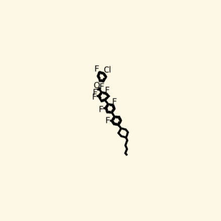 CCCCCC1CCC(c2ccc(-c3cc(F)c(-c4cc(F)c(C(F)(F)Oc5ccc(Cl)c(F)c5)c(F)c4)c(F)c3)c(F)c2)CC1